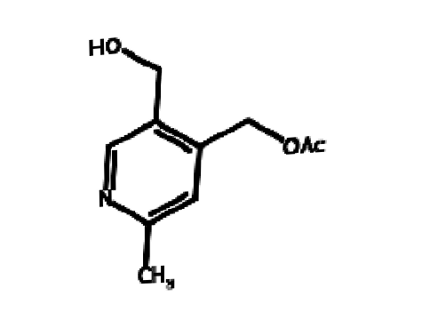 CC(=O)OCc1cc(C)ncc1CO